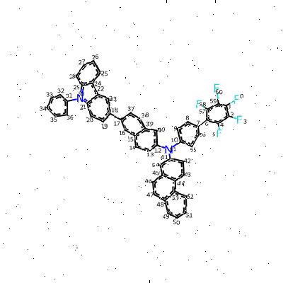 Fc1c(F)c(F)c(-c2ccc(N(c3ccc4cc(-c5ccc6c(c5)c5ccccc5n6-c5ccccc5)ccc4c3)c3ccc4c(ccc5ccccc54)c3)cc2)c(F)c1F